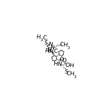 CCCCN1N=C(SCC)SC1NCc1cccc(C(=O)N[C@@H](CCSC)C(=O)O)c1-c1ccccc1C